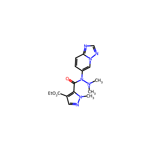 CCOC(=O)c1cnn(C)c1C(=O)N(c1ccc2ncnn2c1)N(C)C